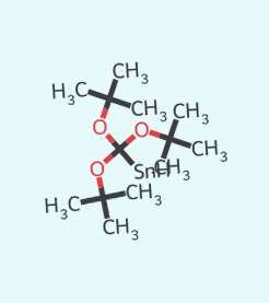 CC(C)(C)O[C]([SnH])(OC(C)(C)C)OC(C)(C)C